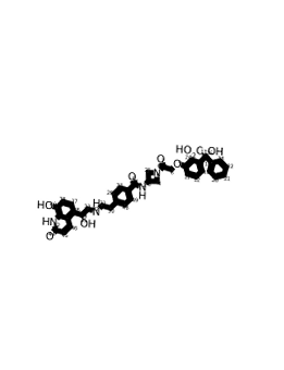 O=C(NC1CN(C(=O)COc2cccc([C@](O)(C(=O)O)c3ccccc3)c2)C1)c1ccc(CCNC[C@H](O)c2ccc(O)c3[nH]c(=O)ccc23)cc1